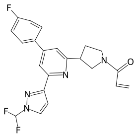 C=CC(=O)N1CCC(c2cc(-c3ccc(F)cc3)cc(-c3ccn(C(F)F)n3)n2)C1